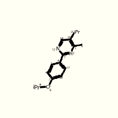 Cc1nc(-c2ccc(OC(C)C)cc2)ncc1C(C)C